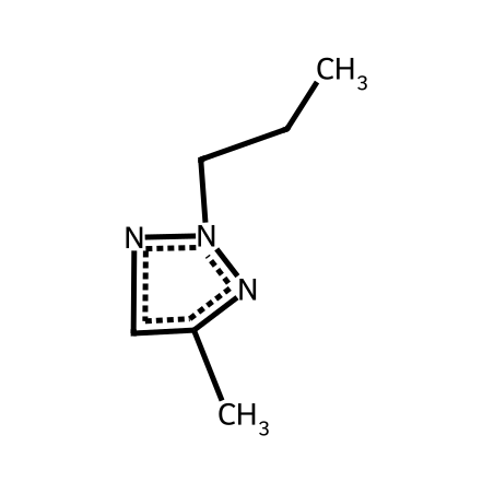 CCCn1ncc(C)n1